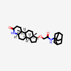 C[C@]12CCC(=O)N[C@@H]1CC[C@@H]1[C@@H]2CC[C@]2(C)[C@@H](OCC(=O)NC34CC5CC(CC(C5)C3)C4)CC[C@@H]12